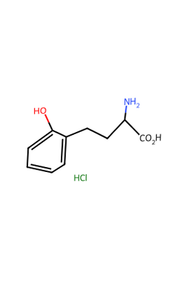 Cl.NC(CCc1ccccc1O)C(=O)O